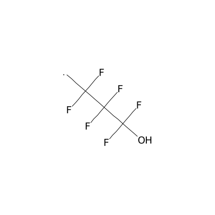 [CH2]C(F)(F)C(F)(F)C(O)(F)F